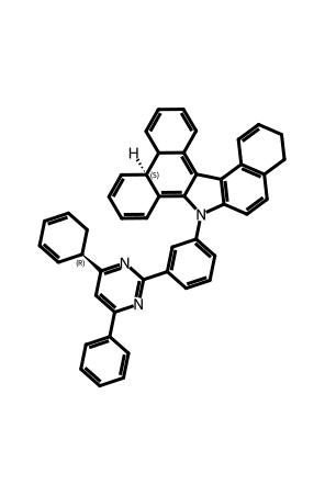 C1=CC[C@@H](c2cc(-c3ccccc3)nc(-c3cccc(-n4c5c(c6c7c(ccc64)CCC=C7)=C4C=CC=CC4[C@@H]4C=CC=CC=54)c3)n2)C=C1